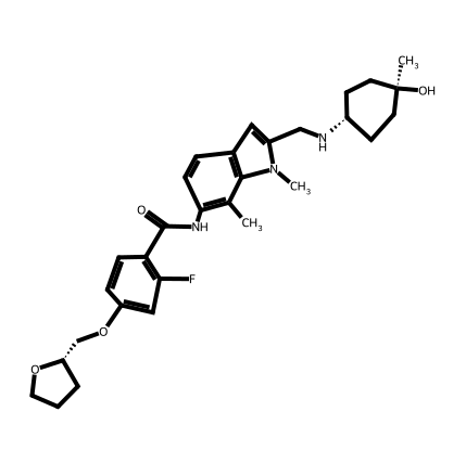 Cc1c(NC(=O)c2ccc(OC[C@@H]3CCCO3)cc2F)ccc2cc(CN[C@H]3CC[C@](C)(O)CC3)n(C)c12